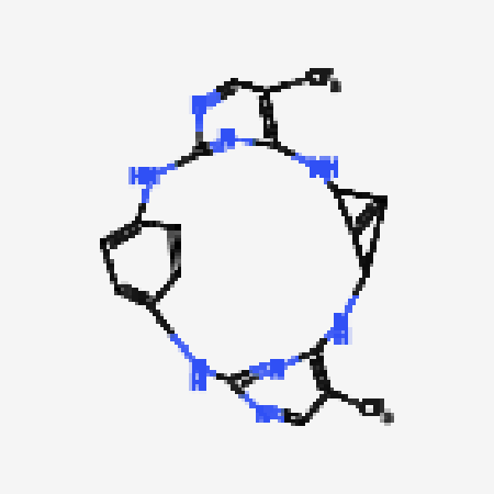 FC(F)(F)c1cnc2nc1NC1C3=C1C3Nc1nc(ncc1C(F)(F)F)Nc1ccc(cc1)N2